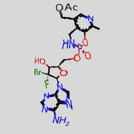 CC(=O)OCc1cnc(C)c2c1CNP(=O)(OC[C@H]1O[C@@H](n3cnc4c(N)ncnc43)[C@@](F)(Br)C1O)O2